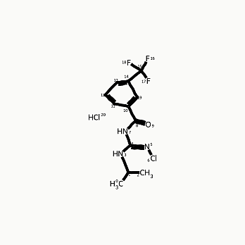 CC(C)NC(=NCl)NC(=O)c1cccc(C(F)(F)F)c1.Cl